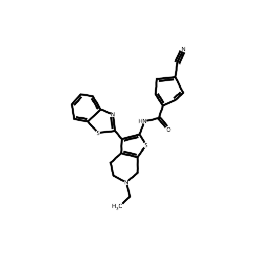 CCN1CCc2c(sc(NC(=O)c3ccc(C#N)cc3)c2-c2nc3ccccc3s2)C1